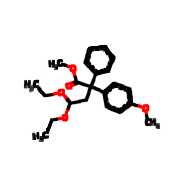 CCOC(CC(C(=O)OC)(c1ccccc1)c1ccc(OC)cc1)OCC